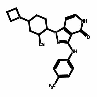 N#CC1CC(N2CCC2)CCC1n1nc(Nc2ccc(C(F)(F)F)cc2)c2c(=O)[nH]ccc21